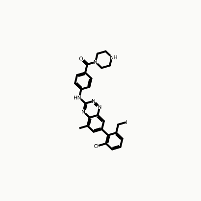 Cc1cc(-c2c(Cl)cccc2CI)cc2nnc(Nc3ccc(C(=O)N4CCNCC4)cc3)nc12